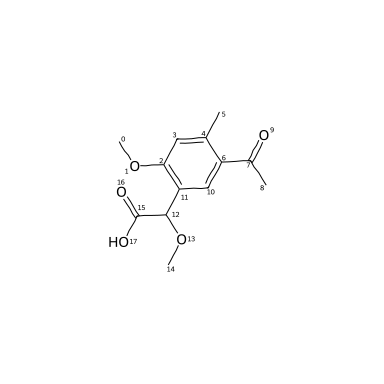 COc1cc(C)c(C(C)=O)cc1C(OC)C(=O)O